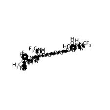 Cc1nonc1C(=O)N[C@H](c1cn2ncc([C@@H](COCCOCCOCCOCCOC[C@H]3OC[C@H](Nc4cncc(C(F)(F)F)n4)[C@@H](O)[C@H]3O)N3C[C@@H](C(F)(F)F)NC3=O)cc2n1)C1CCC(F)(F)CC1